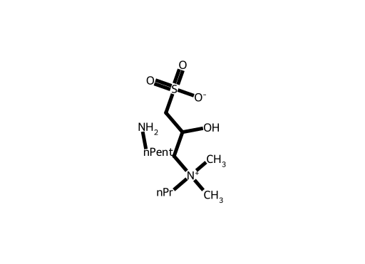 CCCCCN.CCC[N+](C)(C)CC(O)CS(=O)(=O)[O-]